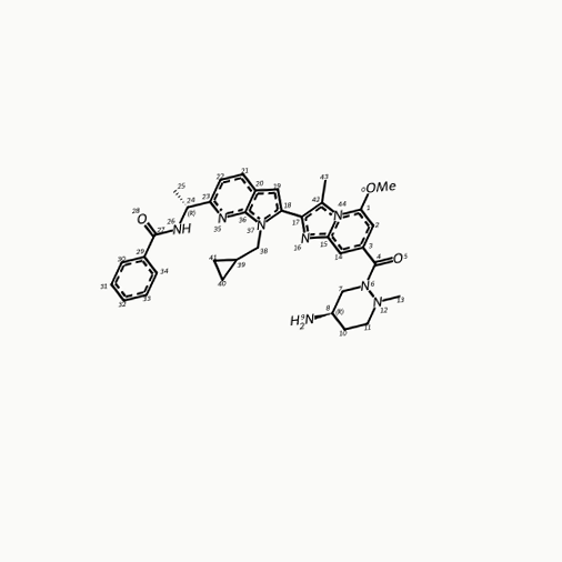 COc1cc(C(=O)N2C[C@H](N)CCN2C)cc2nc(-c3cc4ccc([C@@H](C)NC(=O)c5ccccc5)nc4n3CC3CC3)c(C)n12